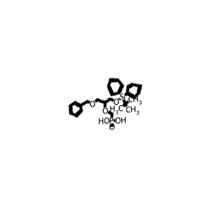 CC(C)(C)[Si](OCC(COCc1ccccc1)OCP(=O)(O)O)(c1ccccc1)c1ccccc1